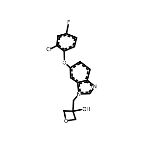 OC1(Cn2cnc3ccc(Oc4ccc(F)cc4Cl)cc32)COC1